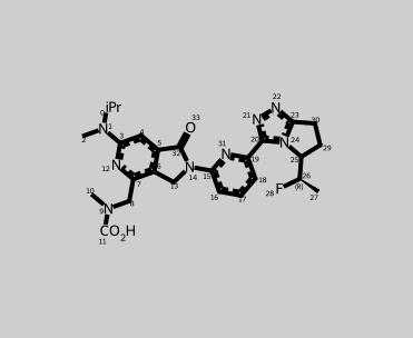 CC(C)N(C)c1cc2c(c(CN(C)C(=O)O)n1)CN(c1cccc(-c3nnc4n3C([C@@H](C)F)CC4)n1)C2=O